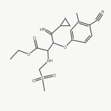 CCOC(=O)C(NCS(C)(=O)=O)C(Oc1ccc(C#N)c(C)c1)C(=N)C1CC1